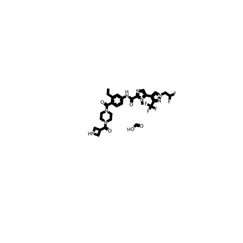 CCc1cc(NC(=O)c2ncc(-c3cn(CC(F)F)nc3C(F)(F)F)n2C)ccc1C(=O)N1CCN(C(=O)C2CNC2)CC1.O=CO